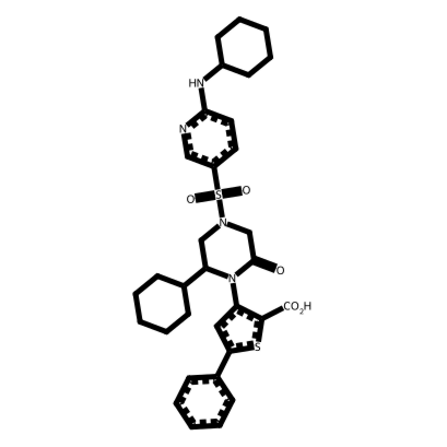 O=C(O)c1sc(-c2ccccc2)cc1N1C(=O)CN(S(=O)(=O)c2ccc(NC3CCCCC3)nc2)CC1C1CCCCC1